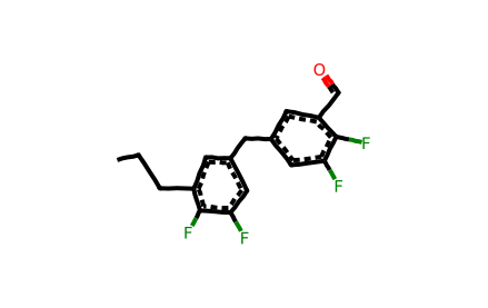 CCCc1cc(Cc2cc(F)c(F)c(C=O)c2)cc(F)c1F